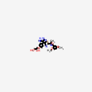 COc1ccc(OC)c(-c2nc(CSc3nc(N)c(C#N)c(-c4ccc(OC[C@H](O)CO)cc4)c3C#N)c(C)o2)c1